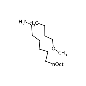 CCCCCCCCCCCCCCN.CCCCOC